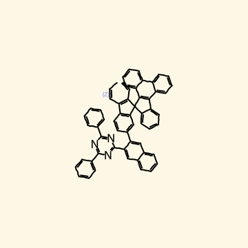 C=CC1=C(/C=C\C)c2ccc(-c3cc4ccccc4cc3-c3nc(-c4ccccc4)nc(-c4ccccc4)n3)cc2C12c1ccccc1-c1c2c2ccccc2c2ccccc12